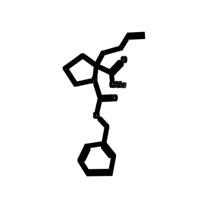 C=CCCC1(C(=O)OC)CCCN1C(=O)OCc1ccccc1